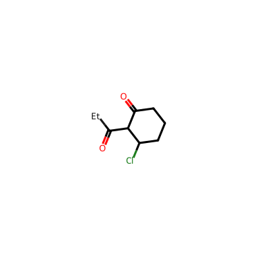 CCC(=O)C1C(=O)CCCC1Cl